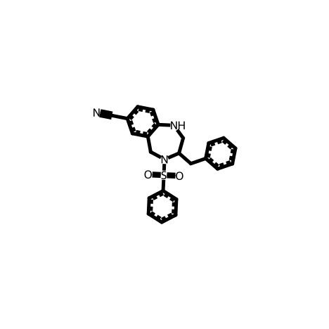 N#Cc1ccc2c(c1)CN(S(=O)(=O)c1ccccc1)C(Cc1ccccc1)CN2